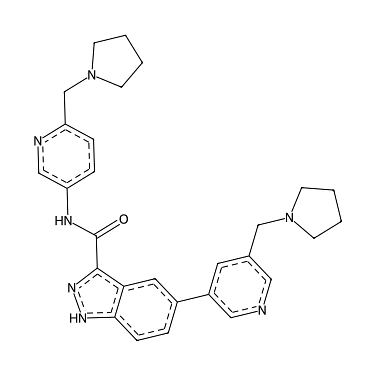 O=C(Nc1ccc(CN2CCCC2)nc1)c1n[nH]c2ccc(-c3cncc(CN4CCCC4)c3)cc12